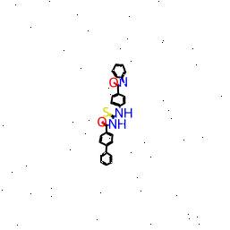 O=C(NC(=S)Nc1ccc(-c2nc3ccccc3o2)cc1)c1ccc(-c2ccccc2)cc1